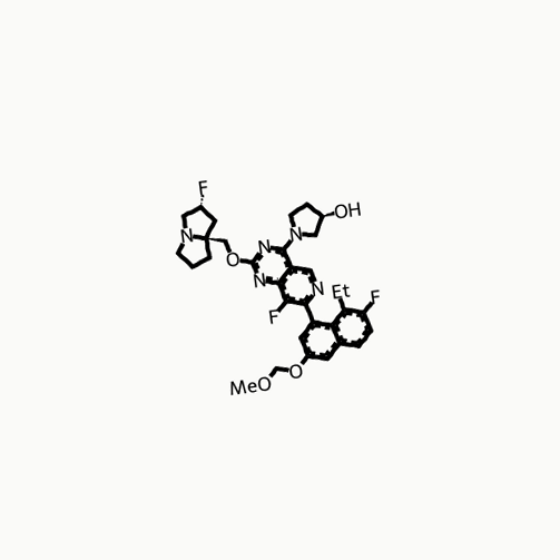 CCc1c(F)ccc2cc(OCOC)cc(-c3ncc4c(N5CC[C@@H](O)C5)nc(OC[C@@]56CCCN5C[C@H](F)C6)nc4c3F)c12